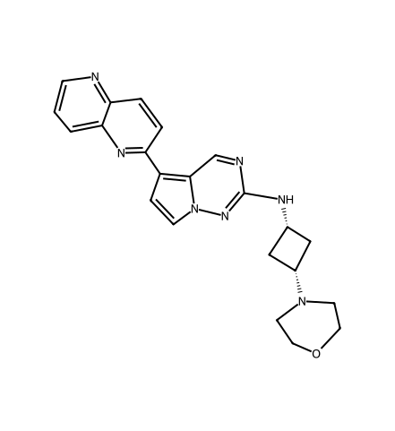 c1cnc2ccc(-c3ccn4nc(N[C@H]5C[C@@H](N6CCOCC6)C5)ncc34)nc2c1